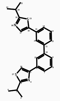 CC(C)c1nc(-c2cccc(-c3cccc(-c4cnc(C(C)C)s4)c3)c2)cs1